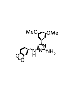 COc1cc(OC)cc(-c2cc(NCc3ccc4c(c3)OCO4)nc(N)n2)c1